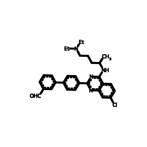 CCN(CC)CCCC(C)Nc1nc(-c2ccc(-c3cccc(C=O)c3)cc2)nc2cc(Cl)ccc12